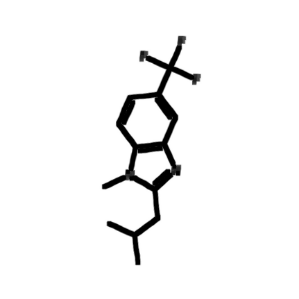 CC(C)Cc1nc2cc(C(F)(F)F)ccc2n1C